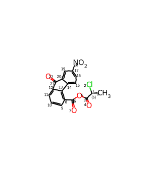 C[C@H](Cl)C(=O)OC(=O)c1cccc2c1-c1ccc([N+](=O)[O-])cc1C2=O